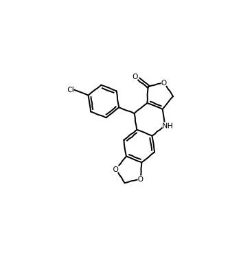 O=C1OCC2=C1C(c1ccc(Cl)cc1)c1cc3c(cc1N2)OCO3